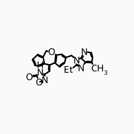 CCc1nc2c(C)ccnc2n1Cc1ccc2c(c1)OCc1ccccc1C2=Cc1noc(=O)[nH]1